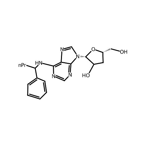 CCCC(Nc1ncnc2c1ncn2[C@@H]1O[C@H](CO)CC1O)c1ccccc1